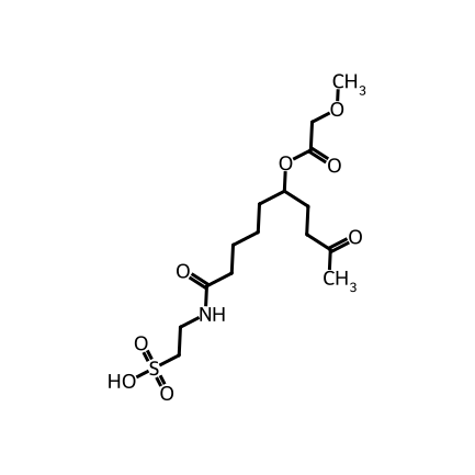 COCC(=O)OC(CCCCC(=O)NCCS(=O)(=O)O)CCC(C)=O